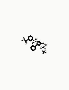 CN(C)C(=O)c1cccc(S(=O)(=O)n2cc(CN(C)C(=O)OC(C)(C)C)cc2-c2ccccc2)c1